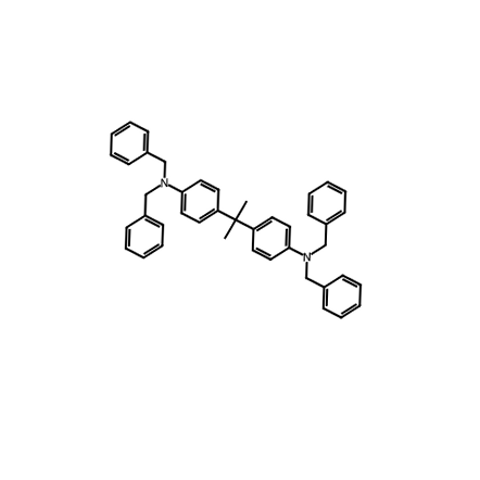 CC(C)(c1ccc(N(Cc2ccccc2)Cc2ccccc2)cc1)c1ccc(N(Cc2ccccc2)Cc2ccccc2)cc1